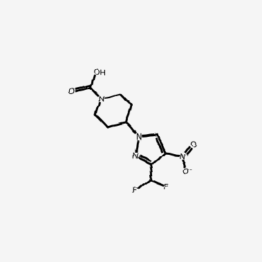 O=C(O)N1CCC(n2cc([N+](=O)[O-])c(C(F)F)n2)CC1